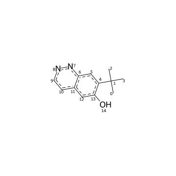 CC(C)(C)c1cc2nnccc2cc1O